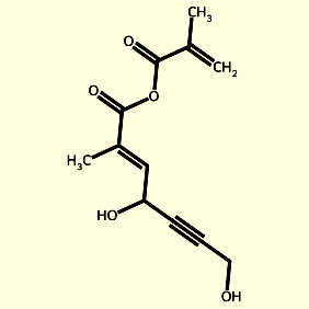 C=C(C)C(=O)OC(=O)C(C)=CC(O)C#CCO